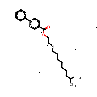 CC(C)CCCCCCCCCCOC(=O)c1ccc(-c2ccccc2)cc1